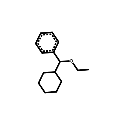 CCOC(c1ccccc1)C1CCCCC1